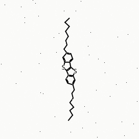 CCCCCCCCc1ccc2c(c1)sc1c3ccc(CCCCCCCC)cc3sc21